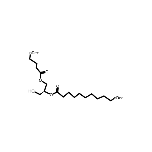 CCCCCCCCCCCCCCCCCCCC(=O)O[C@@H](CO)COC(=O)CCCCCCCCCCCCC